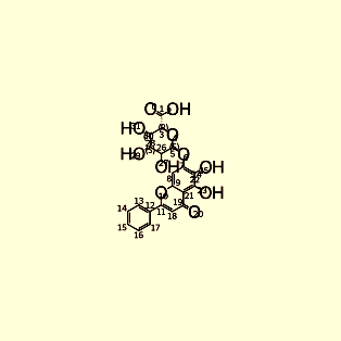 O=C(O)[C@@H]1O[C@@H](Oc2cc3oc(-c4ccccc4)cc(=O)c3c(O)c2O)C(O)[C@@H](O)[C@H]1O